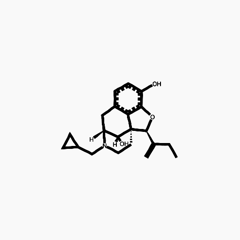 C=C(CC)[C@@H]1Oc2c(O)ccc3c2[C@@]12CCN(CC1CC1)[C@H](C3)[C@H]2O